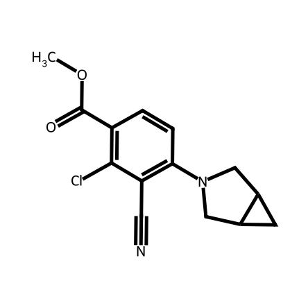 COC(=O)c1ccc(N2CC3CC3C2)c(C#N)c1Cl